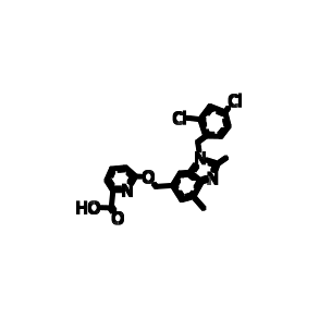 Cc1cc(COc2cccc(C(=O)O)n2)cc2c1nc(C)n2Cc1ccc(Cl)cc1Cl